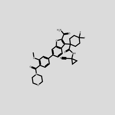 COc1cc(-c2ccc3c(C4(C(=O)NC5(C#N)CC5)CCC(F)(F)CC4)c(C(N)=O)oc3c2)ccc1C(=O)N1CCOCC1